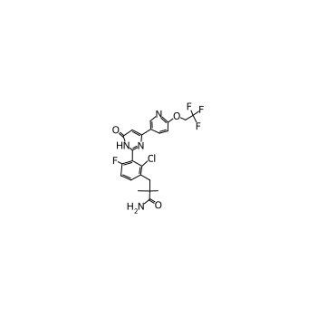 CC(C)(Cc1ccc(F)c(-c2nc(-c3ccc(OCC(F)(F)F)nc3)cc(=O)[nH]2)c1Cl)C(N)=O